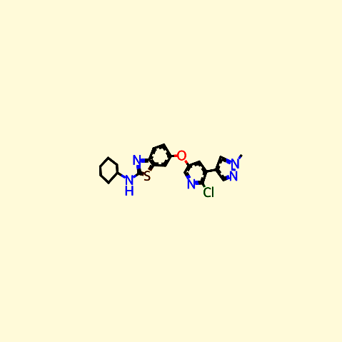 Cn1cc(-c2cc(Oc3ccc4nc(NC5CCCCC5)sc4c3)cnc2Cl)cn1